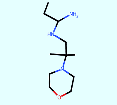 CCC(N)NCC(C)(C)N1CCOCC1